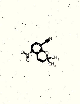 CC1(C)C=Cc2c([N+](=O)[O-])ccc(C#N)c2O1